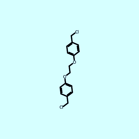 ClCc1ccc(OCCOc2ccc(CCl)cc2)cc1